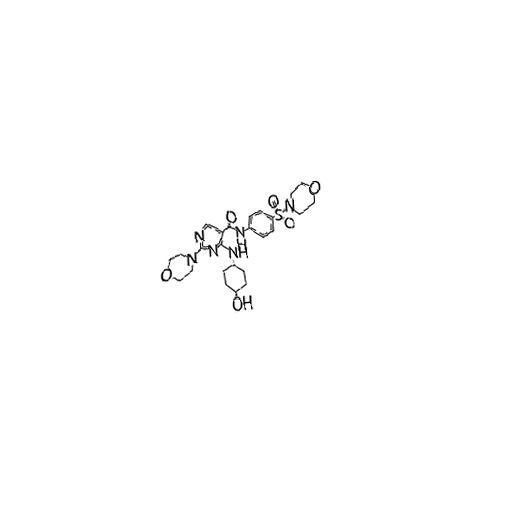 O=C(Nc1ccc(S(=O)(=O)N2CCOCC2)cc1)c1cnc(N2CCOCC2)nc1N[C@H]1CC[C@H](O)CC1